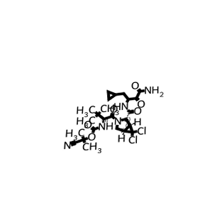 CC(C)(C#N)OC(=O)N[C@H](C(=O)N1C[C@H]2[C@@H]([C@H]1C(=O)NC(CC1CC1)C(=O)C(N)=O)C2(Cl)Cl)C(C)(C)C